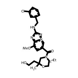 CC[C@@H]1COC(C)(CCO)CN1C(=O)c1cc(OC)c2nc(NCc3cccc(Cl)c3)nn2c1